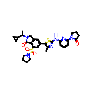 Cc1nc(Nc2cccc(N3CCCC3=O)n2)sc1-c1cc2c(c(S(=O)(=O)N3CCCC3)c1)C(=O)N(C(C)C1CC1)C2